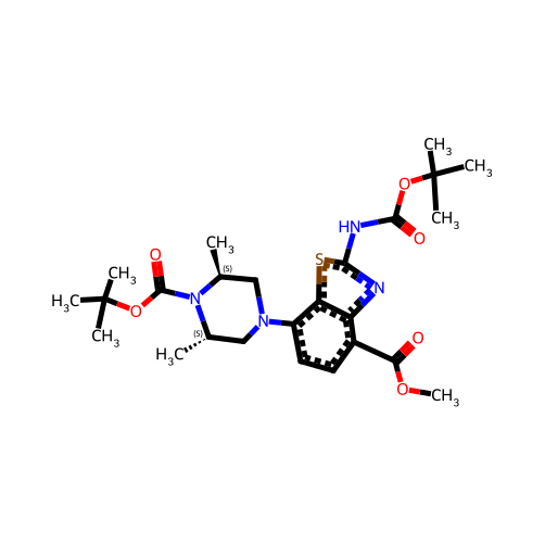 COC(=O)c1ccc(N2C[C@H](C)N(C(=O)OC(C)(C)C)[C@@H](C)C2)c2sc(NC(=O)OC(C)(C)C)nc12